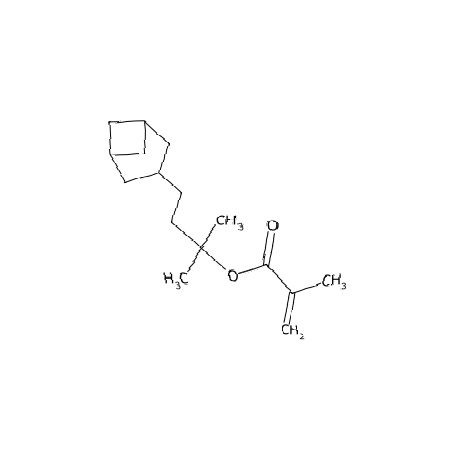 C=C(C)C(=O)OC(C)(C)CCC1CC2CC(C1)C2